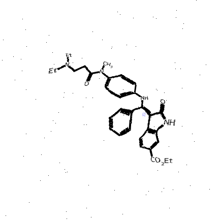 CCOC(=O)c1ccc2c(c1)NC(=O)/C2=C(\Nc1ccc(N(C)C(=O)CCN(CC)CC)cc1)c1ccccc1